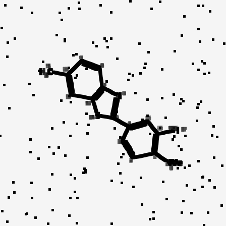 CNc1ccc(-c2nc3ccc(C)cc3s2)cc1[125I]